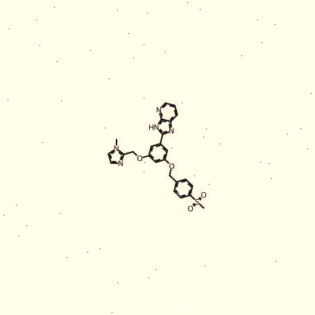 Cn1ccnc1COc1cc(OCc2ccc(S(C)(=O)=O)cc2)cc(-c2nc3cccnc3[nH]2)c1